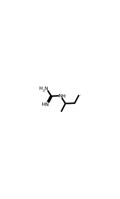 [CH2]CC(C)NC(=N)N